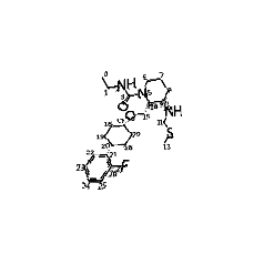 CCNC(=O)N1CCC[C@H](NCSC)[C@@H]1CO[C@H]1CC[C@@H](c2ccccc2F)CC1